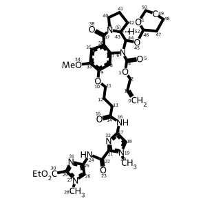 C=CCOC(=O)N1c2cc(OCCCC(=O)Nc3cn(C)c(C(=O)Nc4cn(C)c(C(=O)OCC)n4)n3)c(OC)cc2C(=O)N2CCC[C@H]2C1OC1CCCCO1